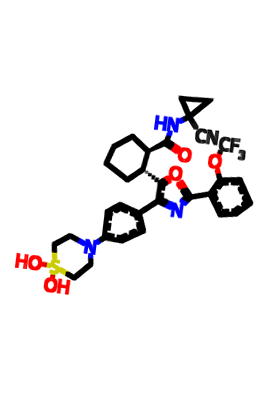 N#CC1(NC(=O)[C@@H]2CCCC[C@H]2c2oc(-c3ccccc3OC(F)(F)F)nc2-c2ccc(N3CCS(O)(O)CC3)cc2)CC1